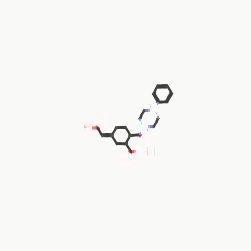 COC(=O)C=C1CCC(C(=O)N2CCN(c3ccccc3)CC2)C(C(=O)O)C1